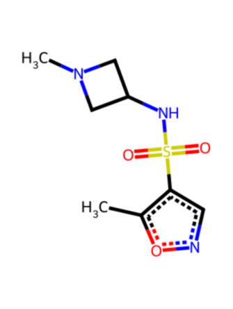 Cc1oncc1S(=O)(=O)NC1CN(C)C1